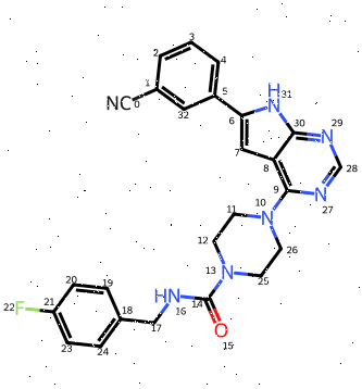 N#Cc1cccc(-c2cc3c(N4CCN(C(=O)NCc5ccc(F)cc5)CC4)ncnc3[nH]2)c1